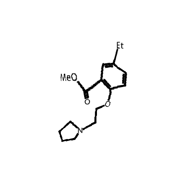 CCc1ccc(OCCN2CCCC2)c(C(=O)OC)c1